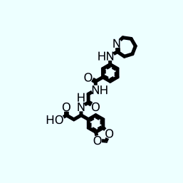 O=C(O)CC(NC(=O)CNC(=O)c1cccc(NC2=NCCCCC2)c1)c1ccc2c(c1)OCO2